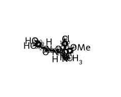 COc1ccc2c(c1)C(c1ccc(Cl)cc1)=N[C@@H](CC(=O)NCCNC(=O)/C=C/c1ccc(O)c(O)c1)c1nnc(C)n1-2